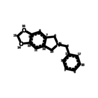 c1ccc(CN2Cc3cc4c(cc3C2)OCO4)cc1